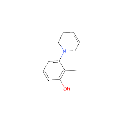 Cc1c(O)cccc1N1CC=CCC1